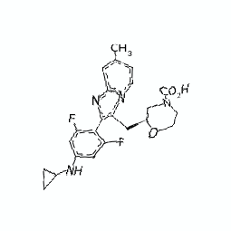 Cc1ccn2c(C[C@H]3CN(C(=O)O)CCO3)c(-c3c(F)cc(NC4CC4)cc3F)nc2c1